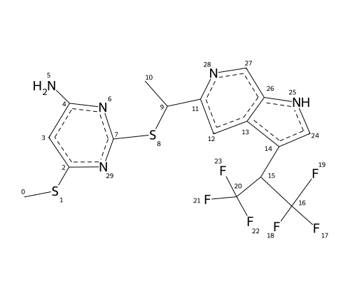 CSc1cc(N)nc(SC(C)c2cc3c(C(C(F)(F)F)C(F)(F)F)c[nH]c3cn2)n1